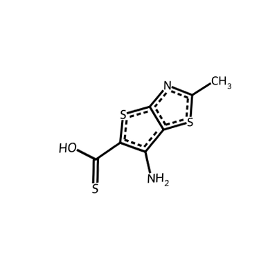 Cc1nc2sc(C(O)=S)c(N)c2s1